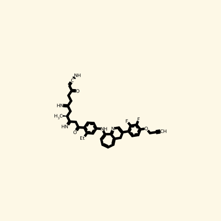 C#CCOc1ccc(C2=CN=C3C(=CC=CC=C3Nc3ccc(C(=O)CC(=N)[C@@H](C)CC(=N)CCC(=O)C=C=N)c(CC)c3)C2)c(F)c1F